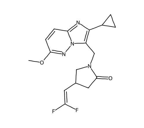 COc1ccc2nc(C3CC3)c(CN3CC(C=C(F)F)CC3=O)n2n1